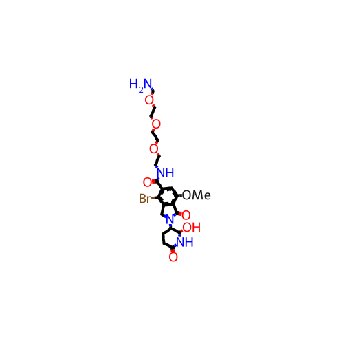 COc1cc(C(=O)NCCOCCOCCOCN)c(Br)c2c1C(=O)N(C1CCC(=O)NC1O)C2